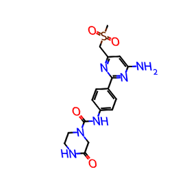 CS(=O)(=O)Cc1cc(N)nc(-c2ccc(NC(=O)N3CCNC(=O)C3)cc2)n1